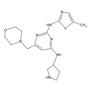 Cc1cnc(Nc2nc(CN3CCOCC3)cc(NC3CCNC3)n2)s1